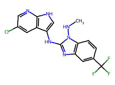 CNn1c(Nc2c[nH]c3ncc(Cl)cc23)nc2cc(C(F)(F)F)ccc21